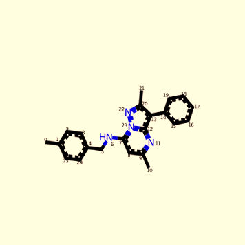 Cc1ccc(CNc2cc(C)nc3c(-c4ccccc4)c(C)nn23)cc1